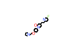 O=c1cc(CCc2ccc(F)cn2)ccn1-c1ccc(OCCN2CCCC2)cc1